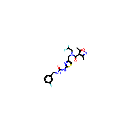 Cc1noc(C)c1C(=O)N(Cc1csc(NC(=O)NCc2cccc(F)c2)n1)CC(F)F